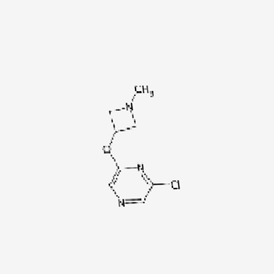 CN1CC(Oc2cncc(Cl)n2)C1